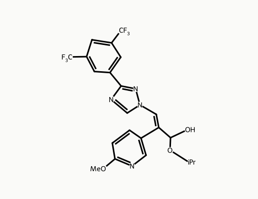 COc1ccc(/C(=C\n2cnc(-c3cc(C(F)(F)F)cc(C(F)(F)F)c3)n2)C(O)OC(C)C)cn1